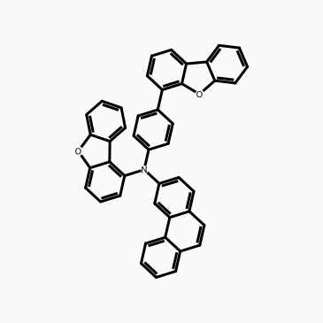 c1ccc2c(c1)ccc1ccc(N(c3ccc(-c4cccc5c4oc4ccccc45)cc3)c3cccc4oc5ccccc5c34)cc12